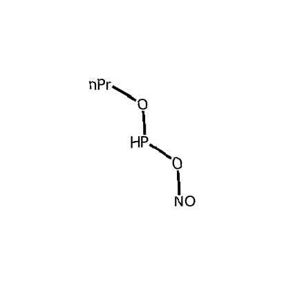 CCCOPON=O